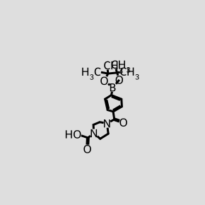 CC1(C)OB(c2ccc(C(=O)N3CCN(C(=O)O)CC3)cc2)OC1(C)C